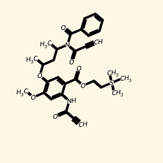 C#CC(=O)Nc1cc(OC)c(OC(C)CC(C)N(C(=O)C#C)C(=O)c2ccccc2)cc1C(=O)OCCS(C)(C)C